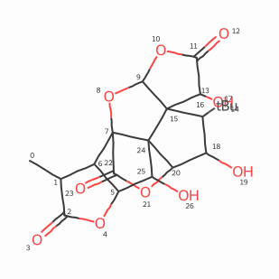 CC1C(=O)OC2C1C13OC4OC(=O)C(O)C45C(C(C)(C)C)C(O)C(OC1=O)C35C2O